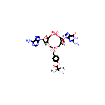 CC(C)(C)C(=O)Oc1ccc(CSP2(=O)CO[C@H]3[C@@H](F)[C@H](n4cnc5c(N)ncnc54)O[C@@H]3COP(=O)(O)O[C@@H]3[C@H](F)[C@@H](CO2)O[C@H]3n2cnc3c(=O)[nH]c(N)nc32)cc1